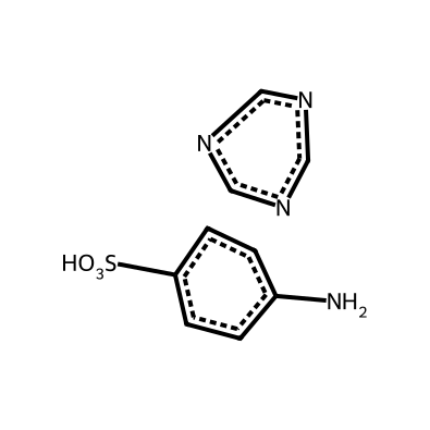 Nc1ccc(S(=O)(=O)O)cc1.c1ncncn1